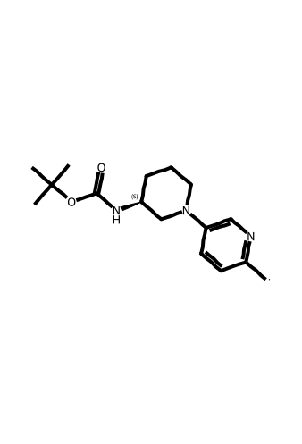 [CH2]c1ccc(N2CCC[C@H](NC(=O)OC(C)(C)C)C2)cn1